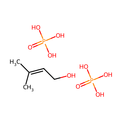 CC(C)=CCO.O=P(O)(O)O.O=P(O)(O)O